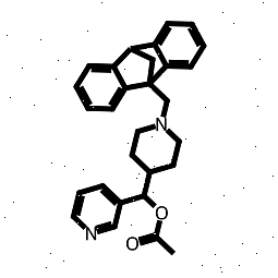 CC(=O)OC(c1cccnc1)C1CCN(CC23CC(c4ccccc42)c2ccccc23)CC1